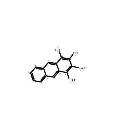 O=C(O)c1c(O)c(O)c2cc3ccccc3cc2c1C(=O)O